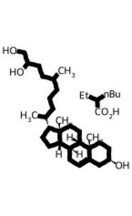 CC(CCCC(C)[C@H]1CC[C@H]2[C@@H]3CC=C4C[C@@H](O)CC[C@]4(C)[C@H]3CC[C@]12C)CCC(O)CO.CCCCC(CC)C(=O)O